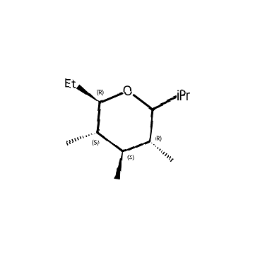 CC[C@H]1OC(C(C)C)[C@H](C)[C@@H](C)[C@@H]1C